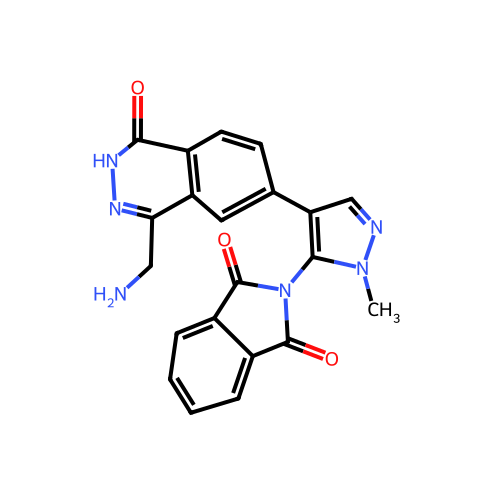 Cn1ncc(-c2ccc3c(=O)[nH]nc(CN)c3c2)c1N1C(=O)c2ccccc2C1=O